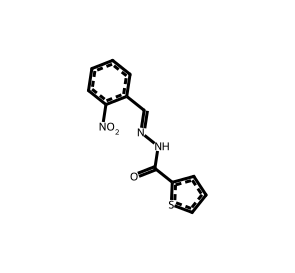 O=C(NN=Cc1ccccc1[N+](=O)[O-])c1cccs1